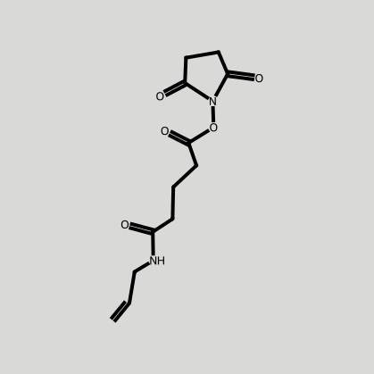 C=CCNC(=O)CCCC(=O)ON1C(=O)CCC1=O